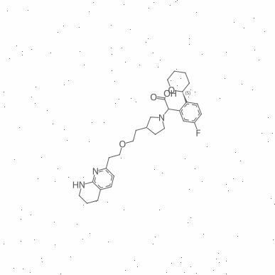 O=C(O)C(c1cc(F)ccc1[C@@H]1CCCCO1)N1CCC(CCOCCc2ccc3c(n2)NCCC3)C1